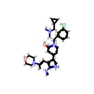 C=Nc1[nH]cc(-c2ccn([C@H](CN(C)CC3CC3)c3cccc(Cl)c3)c(=O)c2)c1/C=C(\C)N1CCOCC1